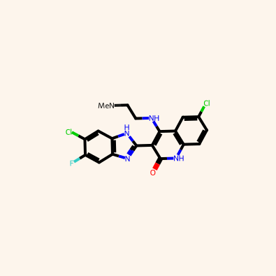 CNCCNc1c(-c2nc3cc(F)c(Cl)cc3[nH]2)c(=O)[nH]c2ccc(Cl)cc12